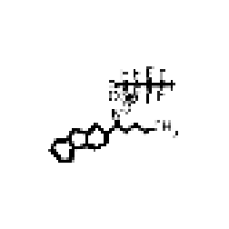 CCCCC(=NOS(=O)(=O)C(F)(F)C(F)(F)C(F)(F)C(F)(F)F)c1ccc2c(c1)Cc1ccccc1-2